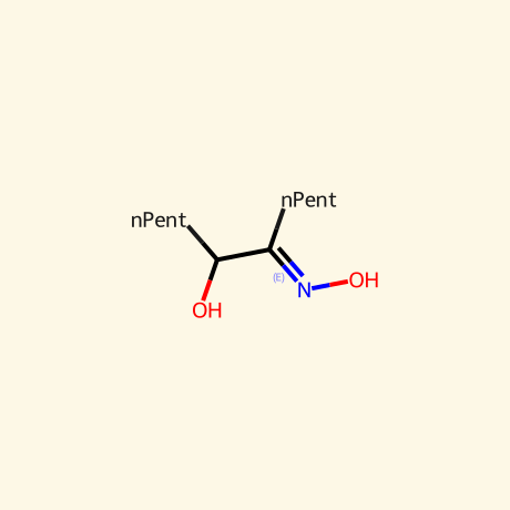 CCCCC/C(=N\O)C(O)CCCCC